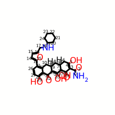 NC(=O)C1=C(O)C[C@@H]2C[C@@H]3Cc4c(-c5ccc(CNC6CCCCC6)o5)ccc(O)c4C(=O)C3=C(O)[C@]2(O)C1=O